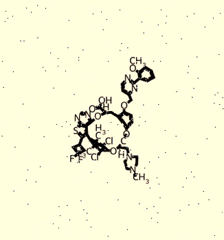 COc1ccccc1-c1nccc(COc2ccc3cc2C[C@H](C(=O)O)Oc2ncnc4sc(C5CC(F)(F)C5)c(c24)-c2c(C)c(Cl)c(c(Cl)c2C)O[C@H](CN2CCN(C)CC2)CO3)n1